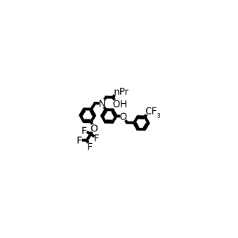 CCCC(O)CN(Cc1cccc(OC(F)(F)C(F)F)c1)c1cccc(OCc2cccc(C(F)(F)F)c2)c1